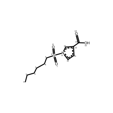 CCCCCCS(=O)(=O)n1ccc(C(=O)O)c1